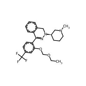 CCOCOc1cc(C(F)(F)F)ccc1C1=NN([C@@H]2CCCN(C)C2)Cc2ccccc21